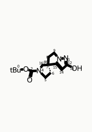 CC(C)(C)OC(=O)N1CC[C@@]2(CCn3nc(O)cc32)C1